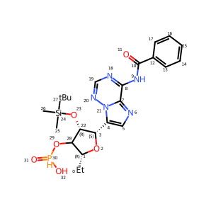 CC[C@H]1O[C@@H](c2cnc3c(NC(=O)c4ccccc4)ncnn23)[C@@H](O[Si](C)(C)C(C)(C)C)C1O[PH](=O)O